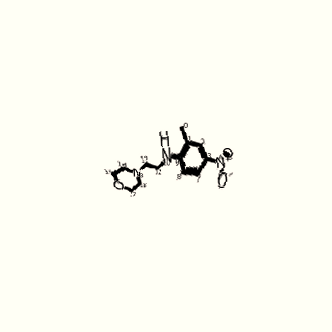 Cc1cc([N+](=O)[O-])ccc1NCCN1CCOCC1